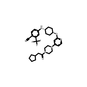 N#Cc1ccc(N[C@H]2CC[C@H](Oc3cc(N4CCN(C(=O)CC5CCCC5)CC4)ccn3)CC2)cc1C(F)(F)F